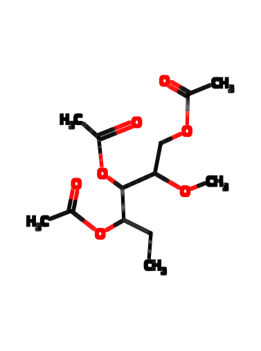 CCC(OC(C)=O)C(OC(C)=O)C(COC(C)=O)OC